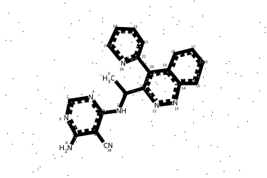 CC(Nc1ncnc(N)c1C#N)c1nnc2ccccc2c1-c1ccccn1